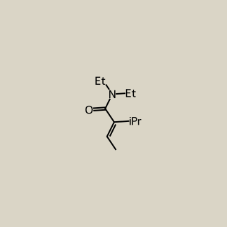 C/C=C(/C(=O)N(CC)CC)C(C)C